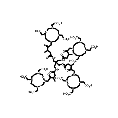 CC(CC(=O)NCC(CNC(=O)CC(C)C(=O)CN1CCN(CC(=O)O)CCN(CC(=O)O)CCN(CC(=O)O)CC1)(CNC(=O)CC(C)C(=O)CN1CCN(CC(=O)O)CCN(CC(=O)O)CCN(CC(=O)O)CC1)CNC(=O)CC(C)C(=O)CN1CCN(CC(=O)O)CCN(CC(=O)O)CCN(CC(=O)O)CC1)C(=O)CN1CCN(CC(=O)O)CCN(CC(=O)O)CCN(CC(=O)O)CC1